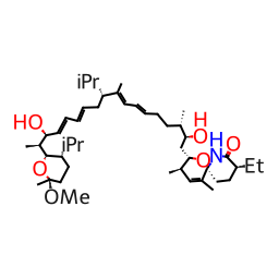 CC[C@H]1CC[C@@]2(NC1=O)O[C@@H](C[C@H](O)[C@@H](C)CC/C=C/C=C(\C)[C@H](C/C=C/C=C/[C@H](O)[C@H](C)[C@H]1O[C@](C)(OC)CC[C@H]1C(C)C)C(C)C)[C@H](C)C=C2C